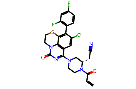 C=CC(=O)N1CCN(c2nc(=O)n3c4c(c(-c5ccc(F)cc5F)c(Cl)cc24)SCC3)C[C@@H]1CC#N